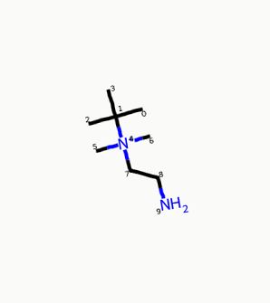 CC(C)(C)[N+](C)(C)CCN